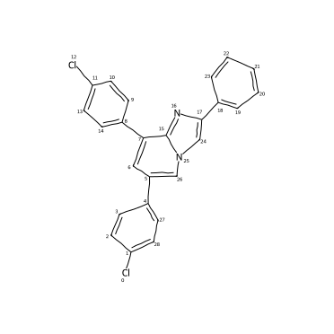 Clc1ccc(-c2cc(-c3ccc(Cl)cc3)c3nc(-c4ccccc4)cn3c2)cc1